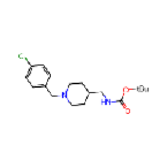 CC(C)(C)OC(=O)NCC1CCN(Cc2ccc(Cl)cc2)CC1